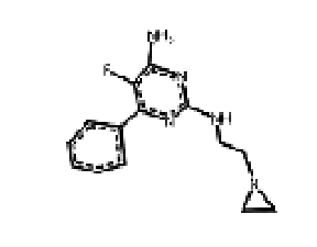 Nc1nc(NCCN2CC2)nc(-c2ccccc2)c1F